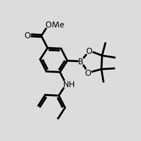 C=C/C(=C\C)Nc1ccc(C(=O)OC)cc1B1OC(C)(C)C(C)(C)O1